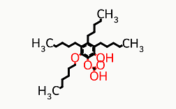 CCCCCCOc1c(CCCCC)c(CCCCC)c(CCCCC)c(O)c1OC(=O)O